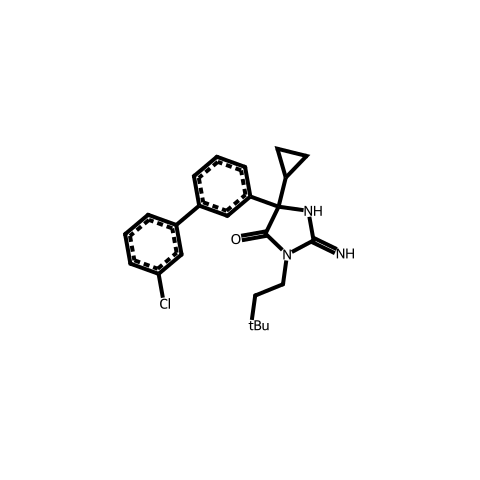 CC(C)(C)CCN1C(=N)NC(c2cccc(-c3cccc(Cl)c3)c2)(C2CC2)C1=O